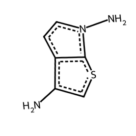 Nc1csc2c1ccn2N